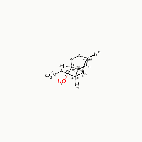 O=[N+]([O-])C[C@]1(O)[C@@H]2C[C@@H]3CC[C@H]1[C@H]2C3